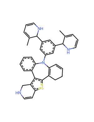 CC1=CC=CNC1c1cc(C2NC=CC=C2C)cc(N2C3=C(CCC=C3)c3sc4c(c3-c3ccccc32)CNC=C4)c1